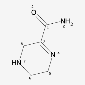 NC(=O)C1=NCCNC1